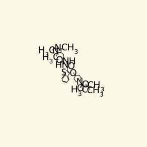 Cc1nn(C)c(C)c1CC(=O)NNC(=O)c1sc2ccccc2c1OC1CCN(C(=O)OC(C)(C)C)CC1